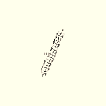 NC(F)(C(F)(F)C(F)(F)C(F)(F)C(F)(F)C(F)(F)C(F)(F)C(F)(F)F)C(F)(F)C(F)(F)C(F)(F)C(F)(F)C(F)(F)C(F)(F)C(F)(F)C(F)(F)F